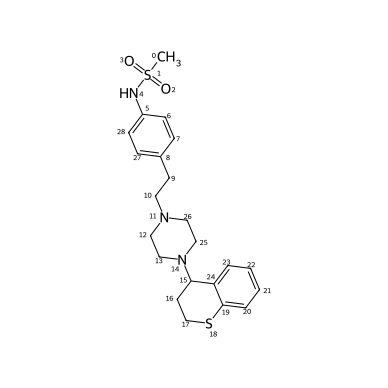 CS(=O)(=O)Nc1ccc(CCN2CCN(C3CCSc4ccccc43)CC2)cc1